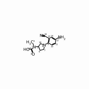 CN(C(=O)O)C1CCN(c2ccc(N)cc2C#N)C1